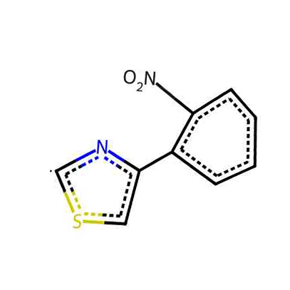 O=[N+]([O-])c1ccccc1-c1cs[c]n1